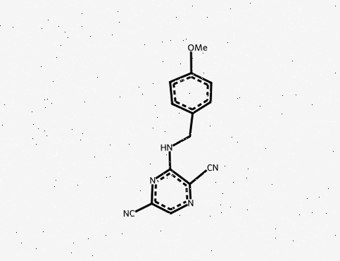 COc1ccc(CNc2nc(C#N)cnc2C#N)cc1